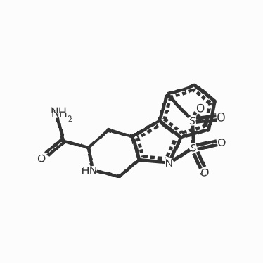 NC(=O)C1Cc2c(n3c4cccc(c24)S(=O)(=O)S3(=O)=O)CN1